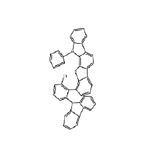 N#Cc1cccc(-n2c3ccccc3c3ccccc32)c1-c1cccc2c1oc1c2ccc2c3ccccc3n(-c3ccccc3)c21